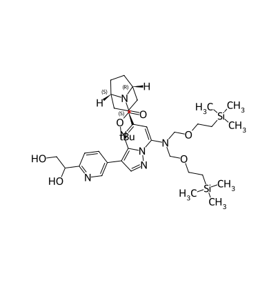 CC(C)(C)OC(=O)N1[C@@H]2CC[C@H]1C[C@H](c1cc(N(COCC[Si](C)(C)C)COCC[Si](C)(C)C)n3ncc(-c4ccc(C(O)CO)nc4)c3n1)C2